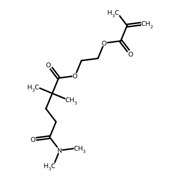 C=C(C)C(=O)OCCOC(=O)C(C)(C)CCC(=O)N(C)C